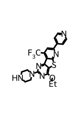 CCOc1nc(N2CCNCC2)nc2c1sc1nc(-c3ccncc3)cc(C(F)(F)F)c12